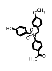 COc1ccc(CN(c2ccc(C(C)=O)cc2)S(=O)(=O)c2ccc(O)cc2)cc1